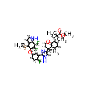 COC(=O)C(C)(C)Cc1cccc2c1OCC[C@@]2(C)c1c[nH]c(-c2cc(Oc3c(F)c(F)c4[nH]ccc4c3SC)ccc2F)n1